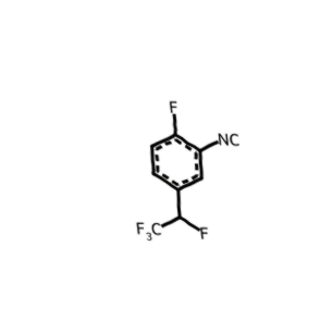 [C-]#[N+]c1cc(C(F)C(F)(F)F)ccc1F